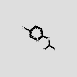 CCc1ccc(OC(F)F)nc1